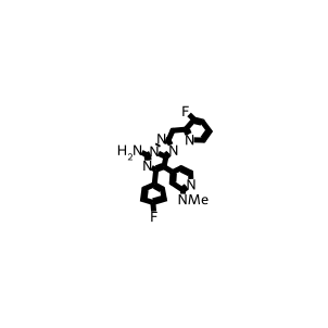 CNc1cc(-c2c(-c3ccc(F)cc3)nc(N)n3nc(Cc4ncccc4F)nc23)ccn1